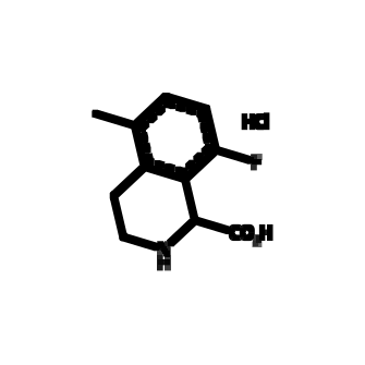 Cc1ccc(F)c2c1CCNC2C(=O)O.Cl